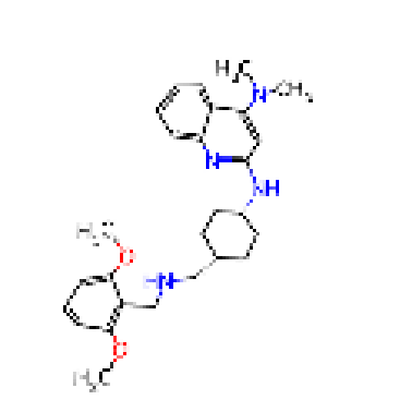 COc1cccc(OC)c1CNC[C@H]1CC[C@@H](Nc2cc(N(C)C)c3ccccc3n2)CC1